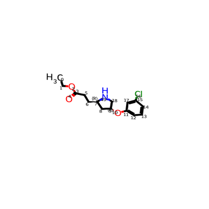 CCOC(=O)CC[C@@H]1C[C@@H](Oc2cccc(Cl)c2)CN1